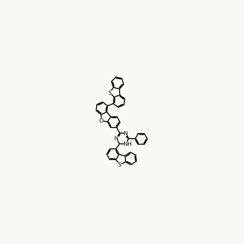 c1ccc(C2=NC(c3ccc4c(c3)oc3cccc(-c5cccc6c5sc5ccccc56)c34)=NC(c3cccc4sc5ccccc5c34)N2)cc1